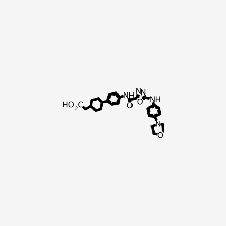 O=C(O)CC1CCC(c2ccc(NC(=O)c3nnc(Nc4ccc(N5CCOCC5)cc4)o3)cc2)CC1